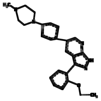 CCOc1ccccc1-c1n[nH]c2ncc(-c3ccc(N4CCN(C)CC4)cc3)cc12